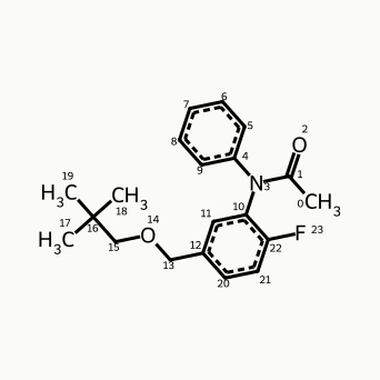 CC(=O)N(c1ccccc1)c1cc(COCC(C)(C)C)ccc1F